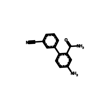 N#Cc1cccc(-c2ccc(N)cc2C(N)=O)c1